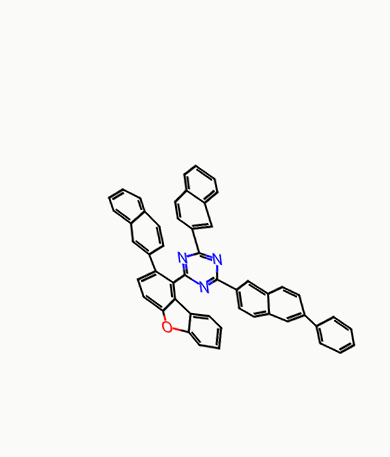 c1ccc(-c2ccc3cc(-c4nc(-c5ccc6ccccc6c5)nc(-c5c(-c6ccc7ccccc7c6)ccc6oc7ccccc7c56)n4)ccc3c2)cc1